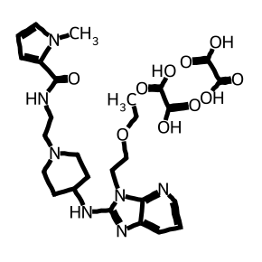 CCOCCn1c(NC2CCN(CCNC(=O)c3cccn3C)CC2)nc2cccnc21.O=C(O)C(=O)O.O=C(O)C(=O)O